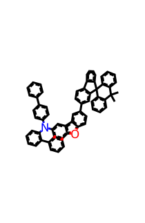 CC1(C)c2ccccc2C2(c3ccccc3-c3ccc(-c4ccc5oc6ccc(N(c7ccc(-c8ccccc8)cc7)c7ccccc7-c7ccccc7)cc6c5c4)cc32)c2ccccc21